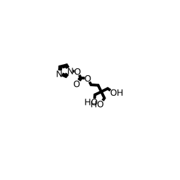 O=C(OCCC(CO)(CO)CO)On1ccnc1